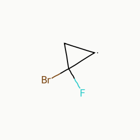 FC1(Br)[CH]C1